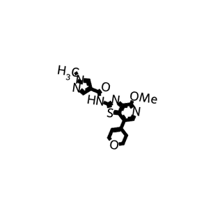 COc1ncc(C2=CCOCC2)c2sc(NC(=O)c3cnn(C)c3)nc12